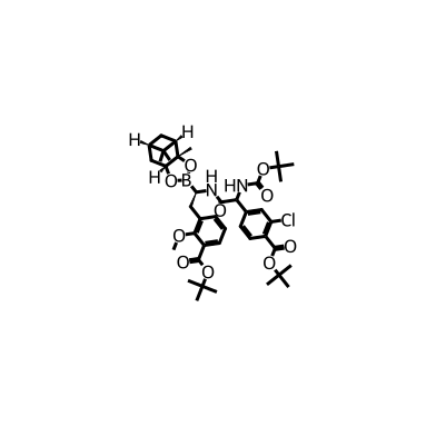 COc1c(C[C@H](NC(=O)C(NC(=O)OC(C)(C)C)c2ccc(C(=O)OC(C)(C)C)c(Cl)c2)B2O[C@@H]3C[C@@H]4C[C@@H](C4(C)C)[C@]3(C)O2)cccc1C(=O)OC(C)(C)C